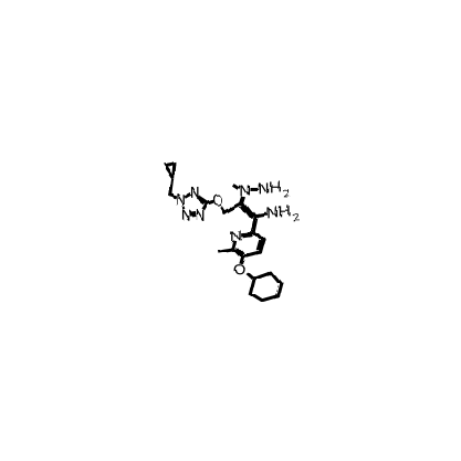 Cc1nc(/C(N)=C(\COc2nnn(CC3CC3)n2)N(C)N)ccc1OC1CCCCC1